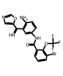 N=C(c1cnco1)c1cc(NC(=O)c2cccc(Br)c2OC(F)(F)F)ccc1N